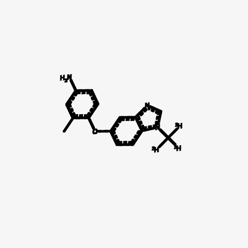 [2H]C([2H])([2H])n1cnc2cc(Oc3ccc(N)cc3C)ccc21